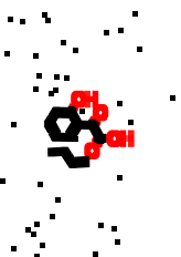 C=CCC.O=C(O)C(=O)c1ccccc1O